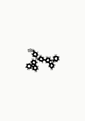 CC(C)(C)c1ccc(N(c2ccc(-c3ccc4c(c3)c3ccccc3n4-c3ccccc3)cc2)c2ccc(C3(c4ccccc4)CCCCC3)cc2)cc1